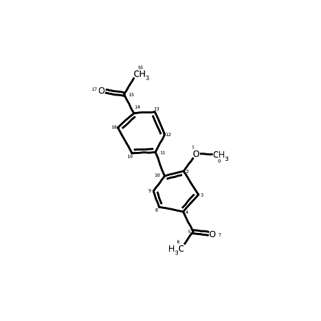 COc1cc(C(C)=O)ccc1-c1ccc(C(C)=O)cc1